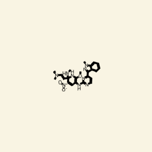 CNC1(CCN(C)C)NC(OC)=C(Nc2nccc(-c3nn(C)c4ccccc34)n2)C=C1[N+](=O)[O-]